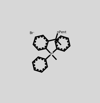 CCCCCC(C)c1ccccc1[P+](C)(c1ccccc1)c1ccccc1.[Br-]